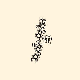 CC(C)(O)COc1c(COC(=O)Nc2ccc(Oc3ccc(F)c(F)c3)cc2F)ccc2c1C(=O)N(C1CCC(=O)NC1=O)C2